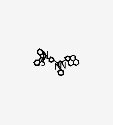 C1=CC2=CCc3ccc(-c4cc(-c5ccc(-c6nc7ccccc7c7c6sc6ccccc67)cc5)nc(-c5ccccc5)n4)c4c3C2C(=C1)C=C4